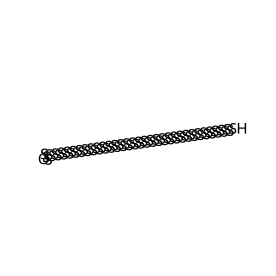 COS(=S)(=S)SSSSSSSSSSSSSSSSSSSSSSSSSSSSSSSSSSSSSSSSSSSSSSSSSSSSSSSSSSSSSSS